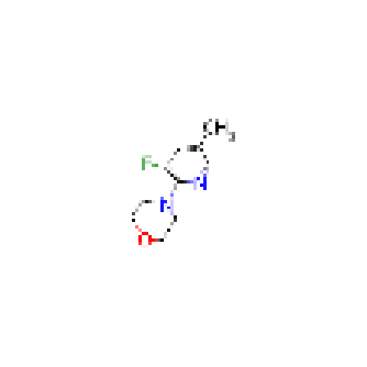 Cc1cnc(N2CCOCC2)c(F)c1